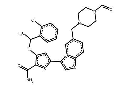 CC(Oc1cc(-c2cnc3ccc(CN4CCN(C=O)CC4)cn23)sc1C(N)=O)c1ccccc1Cl